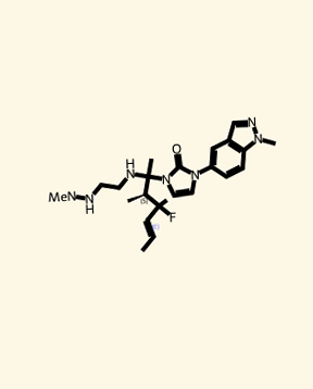 C/C=C/C(C)(F)[C@@H](C)C(C)(NCCNNC)n1ccn(-c2ccc3c(cnn3C)c2)c1=O